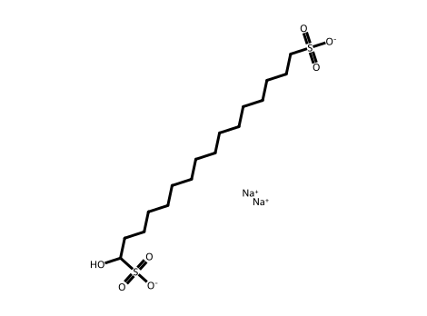 O=S(=O)([O-])CCCCCCCCCCCCCCCC(O)S(=O)(=O)[O-].[Na+].[Na+]